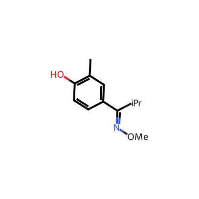 CO/N=C(/c1ccc(O)c(C)c1)C(C)C